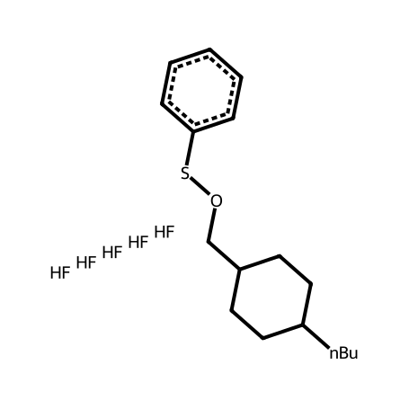 CCCCC1CCC(COSc2ccccc2)CC1.F.F.F.F.F